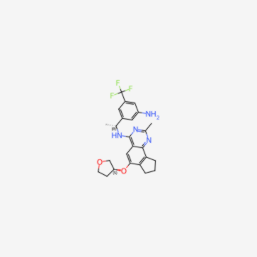 Cc1nc(N[C@H](C)c2cc(N)cc(C(F)(F)F)c2)c2cc(O[C@H]3CCOC3)c3c(c2n1)CCC3